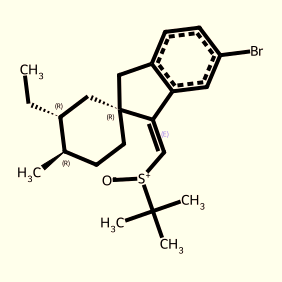 CC[C@@H]1C[C@]2(CC[C@H]1C)Cc1ccc(Br)cc1/C2=C/[S+]([O-])C(C)(C)C